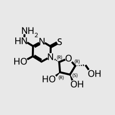 NNc1nc(=S)n([C@@H]2O[C@H](CO)[C@@H](O)[C@H]2O)cc1O